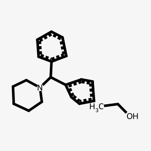 CCO.c1ccc(C(c2ccccc2)N2CCCCC2)cc1